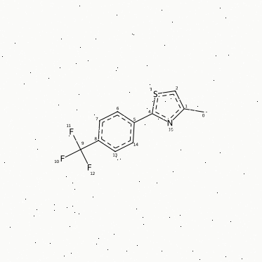 [CH2]c1csc(-c2ccc(C(F)(F)F)cc2)n1